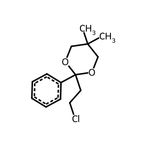 CC1(C)COC(CCCl)(c2ccccc2)OC1